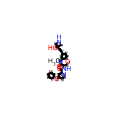 CN1C(=O)[C@@H](NC(=O)c2cc(Oc3ccccc3)ccn2)COc2ccc(C#CC3(O)CNC3)cc21